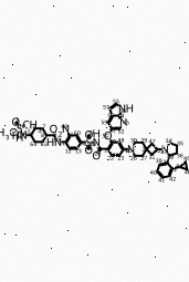 C[SH](C)(=O)NC1CCC(CNc2ccc(S(=O)(=O)NC(=O)c3ccc(N4CCC5(CC4)CC(N4CCC[C@H]4c4ccccc4C4CC4)C5)cc3Oc3cnc4[nH]ccc4c3)cc2[N+](=O)[O-])CC1